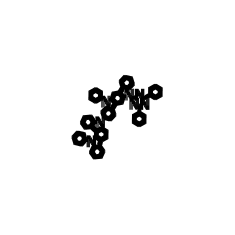 c1ccc(-c2nc(-c3ccccc3)nc(-n3c4ccccc4c4cc5c(cc43)c3ccc(-n4c6ccccc6c6c4ccc4c7ccccc7n(-c7ccccc7)c46)cc3n5-c3ccccc3)n2)cc1